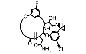 C#Cc1cccc(C2(NCC(O)C3Cc4cc(F)cc(c4)OCCCCCC(=O)NC(CC(N)=O)C(=O)N3)CC2)c1